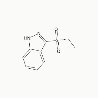 CCS(=O)(=O)c1n[nH]c2ccccc12